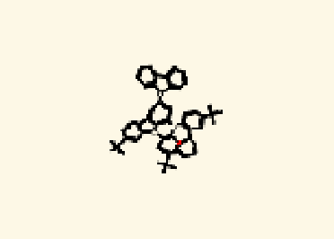 CC(C)(C)c1ccc2c(c1)B1c3cc(C(C)(C)C)ccc3N(c3ccc(C(C)(C)C)cc3-c3ccccc3)c3cc(-n4c5ccccc5c5ccccc54)cc-2c31